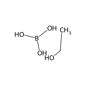 CCO.OB(O)O